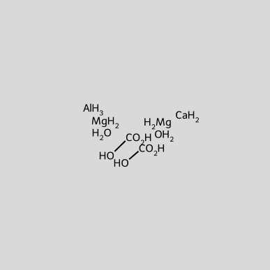 O.O.O=C(O)O.O=C(O)O.[AlH3].[CaH2].[MgH2].[MgH2]